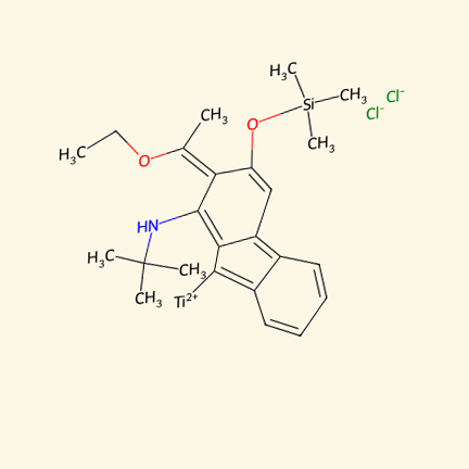 CCOC(C)=c1c(O[Si](C)(C)C)cc2c(c1NC(C)(C)C)[C]([Ti+2])=c1ccccc1=2.[Cl-].[Cl-]